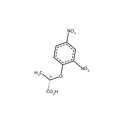 C[C@H](Oc1ccc([N+](=O)[O-])cc1[N+](=O)[O-])C(=O)O